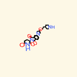 O=C1CCC(N2C(=O)c3ccc(N4CC(OCCC5CCNCC5)C4)cc3C2=O)C(=O)N1